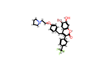 O=c1oc2cc(O)c(Br)cc2c(Cc2ccc(OCCN3CCCC3)cc2)c1-c1ccc(C(F)(F)F)cc1